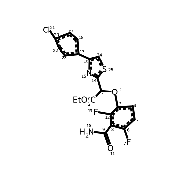 CCOC(=O)C(Oc1ccc(F)c(C(N)=O)c1F)c1nc(-c2ccc(Cl)cc2)cs1